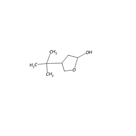 CC(C)(C)C1COC(O)C1